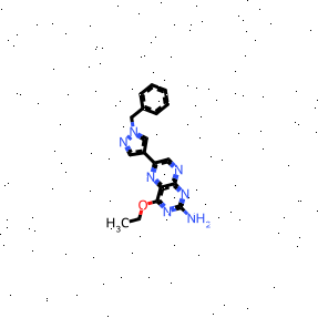 CCOc1nc(N)nc2ncc(-c3cnn(Cc4ccccc4)c3)nc12